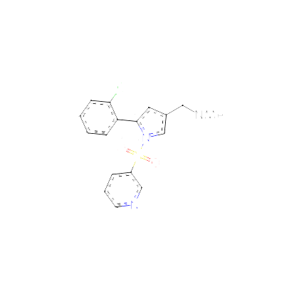 CNCc1cc(-c2ccccc2Cl)n(S(=O)(=O)c2cccnc2)c1